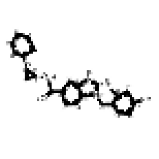 O=C(N[C@@H]1C[C@H]1c1ccccc1)c1ccc2c(c1)ncn2Cc1ccc(F)cc1F